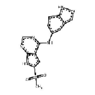 CS(=O)(=O)c1cc2c(Nc3ccc4[nH]ncc4c3)ncnc2[nH]1